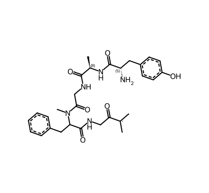 C[C](C)C(=O)CNC(=O)C(Cc1ccccc1)N(C)C(=O)CNC(=O)[C@@H](C)NC(=O)[C@@H](N)Cc1ccc(O)cc1